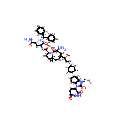 Cn1c(=O)n(C2CCC(=O)NC2=O)c2ccc([C@H]3CC[C@@H](CCC(=O)C4CC[C@H]5CC[C@@H](C(=O)N[C@@H](CCC(N)=O)C(=O)NC(c6ccccc6)c6ccccc6)N5C(=O)[C@@H](N)C4)CC3)cc21